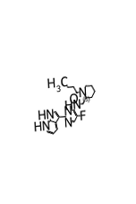 CCCC(=O)N1CCCC[C@H]1CNc1nc(C2=CNC3NC=CC=C23)ncc1F